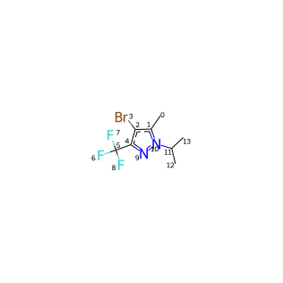 Cc1c(Br)c(C(F)(F)F)nn1C(C)C